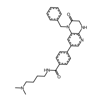 CN(C)CCCCNC(=O)c1ccc(-c2cnc3c(c2)N(Cc2ccccc2)C(=O)CN3)cc1